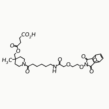 CC1(COC(=O)CCC(=O)O)CCN(C(=O)CCCCCNC(=O)COCCON2C(=O)C3C4C=CC(O4)C3C2=O)CC1